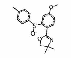 COc1ccc(C2=NC(C)(C)CO2)c([S+]([O-])c2ccc(C)cc2)c1